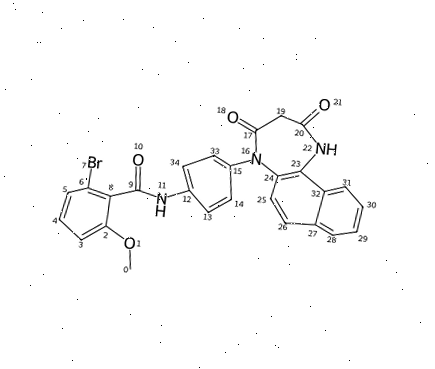 COc1cccc(Br)c1C(=O)Nc1ccc(N2C(=O)CC(=O)Nc3c2ccc2ccccc32)cc1